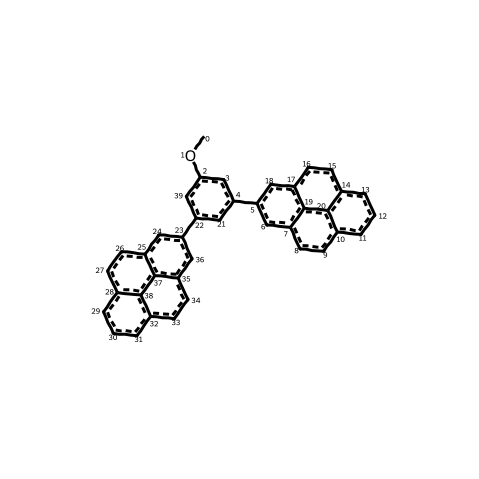 COc1cc(-c2cc3ccc4cccc5ccc(c2)c3c45)cc(-c2cc3ccc4cccc5ccc(c2)c3c45)c1